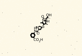 CC1=C(S[C@H]2C[C@@H](C(=O)Nc3cccc(C(=O)O)c3)N(C)C2)[C@H](C)[C@@H]2[C@@H]([C@@H](C)O)C(=O)N12